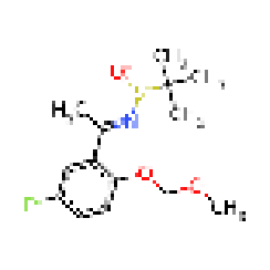 COCOc1ccc(F)cc1/C(C)=N/[S@+]([O-])C(C)(C)C